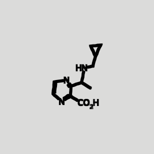 CC(NCC1CC1)c1nccnc1C(=O)O